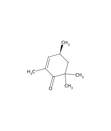 CC1=C[C@@H](C)CC(C)(C)C1=O